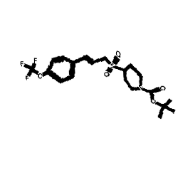 CC(C)(C)OC(=O)N1CCC(S(=O)(=O)CC=Cc2ccc(OC(F)(F)F)cc2)CC1